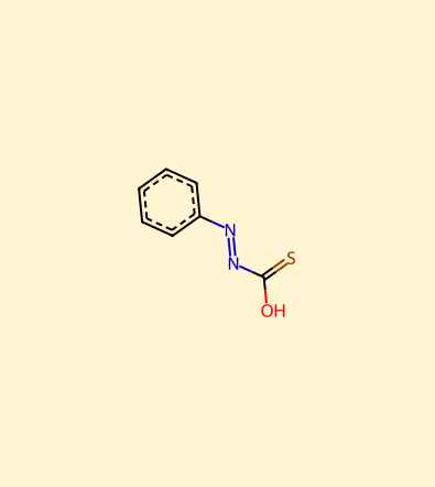 OC(=S)N=Nc1ccccc1